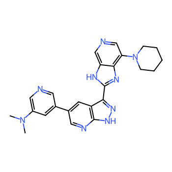 CN(C)c1cncc(-c2cnc3[nH]nc(-c4nc5c(N6CCCCC6)cncc5[nH]4)c3c2)c1